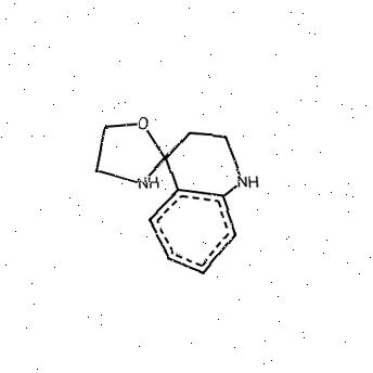 c1ccc2c(c1)NCCC21NCCO1